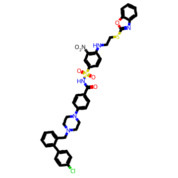 O=C(NS(=O)(=O)c1ccc(NCCSc2nc3ccccc3o2)c([N+](=O)[O-])c1)c1ccc(N2CCN(Cc3ccccc3-c3ccc(Cl)cc3)CC2)cc1